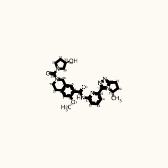 COc1cc2c(cc1C(=O)Nc1cccc(-c3nnc4n3[C@H](C)CC4)n1)CN(C(=O)N1CC[C@@H](O)C1)CC2